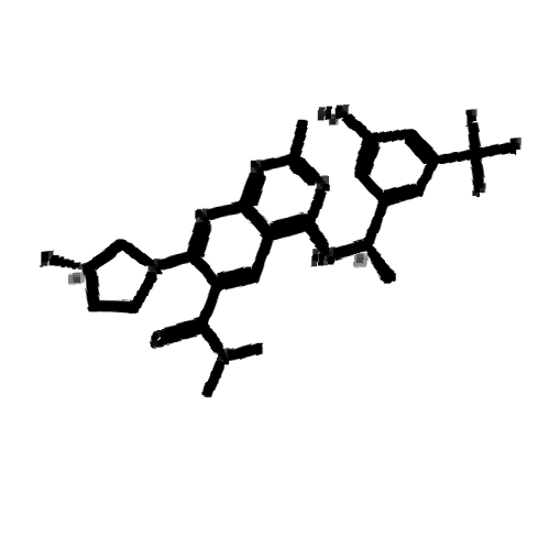 Cc1nc(N[C@H](C)c2cc(N)cc(C(F)(F)F)c2)c2cc(C(=O)N(C)C)c(N3CC[C@H](F)C3)nc2n1